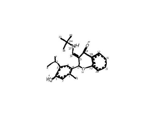 Cc1cc(O)c(C(C)C)cc1C1Oc2ccccc2C(=O)/C1=C\NC(C)(C)C